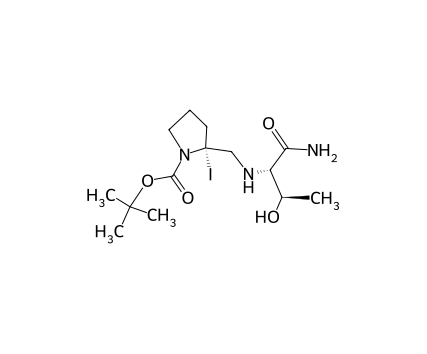 C[C@@H](O)[C@H](NC[C@]1(I)CCCN1C(=O)OC(C)(C)C)C(N)=O